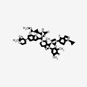 COC(=O)[C@H]1C[C@]1(c1noc(=O)[nH]1)n1c(C(=O)N2CCc3nn(-c4cc(C)c(F)c(C)c4)c(-n4ccn(-c5ccc6c(cnn6C6CC6)c5F)c4=O)c3[C@@H]2C)cc2cc([C@H]3CCOC(C)(C)C3)ccc21